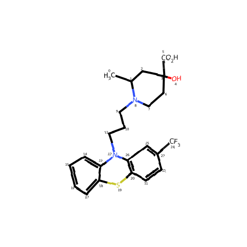 CC1CC(O)(C(=O)O)CCN1CCCN1c2ccccc2Sc2ccc(C(F)(F)F)cc21